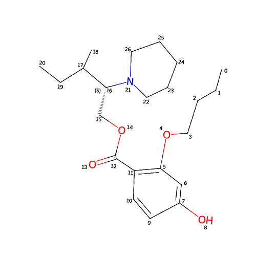 CCCCOc1cc(O)ccc1C(=O)OC[C@H](C(C)CC)N1CCCCC1